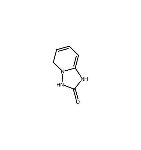 O=C1NC2=CC=CCN2N1